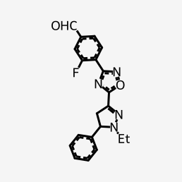 CCN1N=C(c2nc(-c3ccc(C=O)cc3F)no2)CC1c1ccccc1